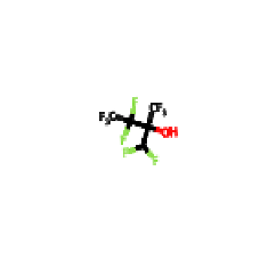 OC(C(F)F)(C(F)(F)F)C(F)(F)C(F)(F)F